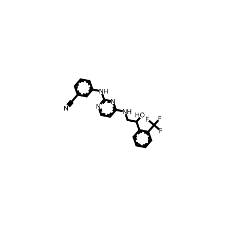 N#Cc1cccc(Nc2nccc(NCC(O)c3ccccc3C(F)(F)F)n2)c1